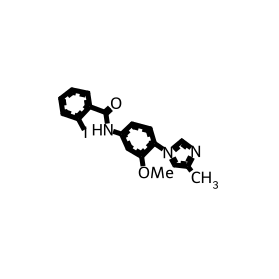 COc1cc(NC(=O)c2ccccc2I)ccc1-n1cnc(C)c1